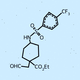 CCOC(=O)C1(CC=O)CCC(NS(=O)(=O)c2ccc(C(F)(F)F)cc2)CC1